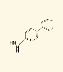 c1ccc(-c2ccc(C3NN3)cc2)cc1